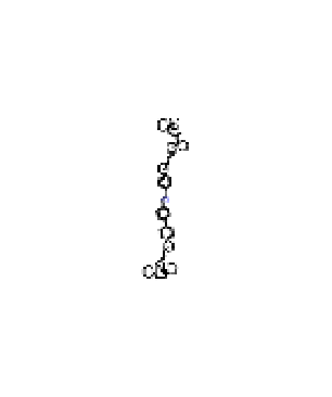 C=C(CC(=O)OC)C(=O)OCCCOc1ccc(/C=C/c2ccc(-c3ccc(OCCCN4C(=O)C=CC4=O)cc3)cc2)cc1